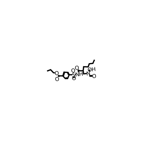 CCCCCC(CN(O)C=O)C(=O)NS(=O)(=O)c1ccc(C(=O)OCCC)cc1